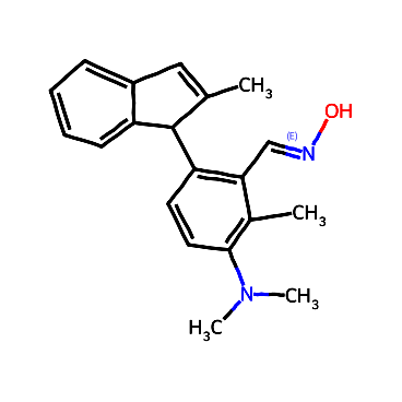 CC1=Cc2ccccc2C1c1ccc(N(C)C)c(C)c1/C=N/O